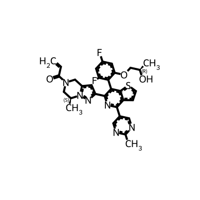 C=CC(=O)N1Cc2cc(-c3nc(-c4cnc(C)nc4)c4ccsc4c3-c3c(F)cc(F)cc3OC[C@@H](C)O)nn2[C@@H](C)C1